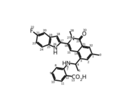 Cc1cc(C(C)Nc2ccccc2C(=O)O)c2cc(-c3cc4cc(F)ccc4[nH]3)n(C)c(=O)c2c1